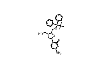 CC(C)(C)[Si](OCC1OC(n2ccc(N)nc2=O)CC1CO)(c1ccccc1)c1ccccc1